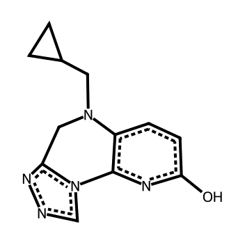 Oc1ccc2c(n1)-n1cnnc1CN2CC1CC1